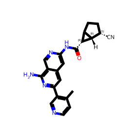 Cc1ccncc1-c1cc2cc(NC(=O)[C@@H]3C4CC[C@H](C#N)[C@@H]43)ncc2c(N)n1